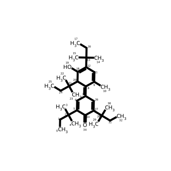 CCC(C)(C)C1=CC(=C2C(C)=CC(C(C)(C)CC)=C(O)C2C(C)(C)CC)C=C(C(C)(C)CC)C1=O